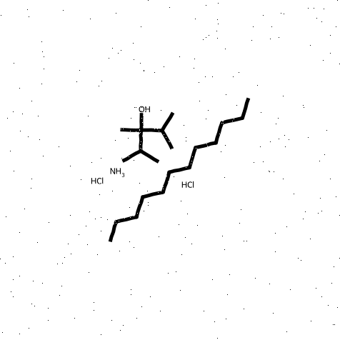 CC(C)C(C)(O)C(C)C.CCCCCCCCCCCC.Cl.Cl.N